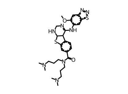 COc1cc2nnsc2cc1NC1=NCNC2Sc3cc(C(=O)N(CCCN(C)C)CCCN(C)C)ccc3C12